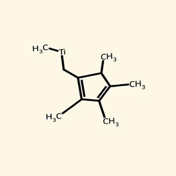 [CH3][Ti][CH2]C1=C(C)C(C)=C(C)C1C